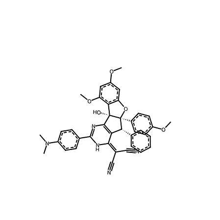 COc1ccc([C@@]23Oc4cc(OC)cc(OC)c4[C@]2(O)C2=C(C(=C(C#N)C#N)NC(c4ccc(N(C)C)cc4)=N2)[C@H]3c2ccccc2)cc1